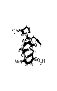 CC#CCn1c(N2CCC[C@@H](N)C2)nc2c1c(=O)n(Cc1nc(NC)ccc1C(=O)O)c(=O)n2C